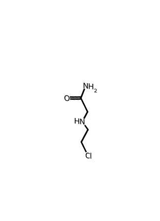 NC(=O)CNCCCl